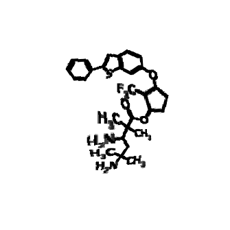 CC(C)(N)CC(N)C(C)(C)C(=O)OC1CCC(Oc2ccc3cc(-c4ccccc4)sc3c2)C1C(F)(F)F